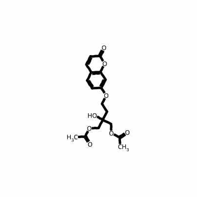 CC(=O)OCC(O)(CCOc1ccc2ccc(=O)oc2c1)COC(C)=O